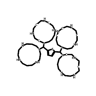 c1cc(C(N2CCCNCCNCCCNCC2)N2CCCNCCNCCCNCC2)sc1C(N1CCCNCCNCCCNCC1)N1CCCNCCNCCCNCC1